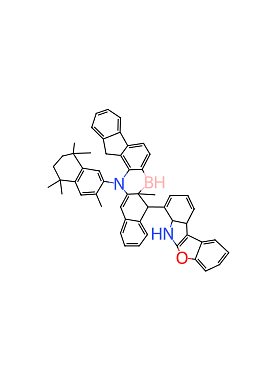 Cc1cc2c(cc1N1C3=Cc4ccccc4C(C4=CC=CC5c6c(oc7ccccc67)NC45)C3(C)Bc3ccc4c(c31)Cc1ccccc1-4)C(C)(C)CCC2(C)C